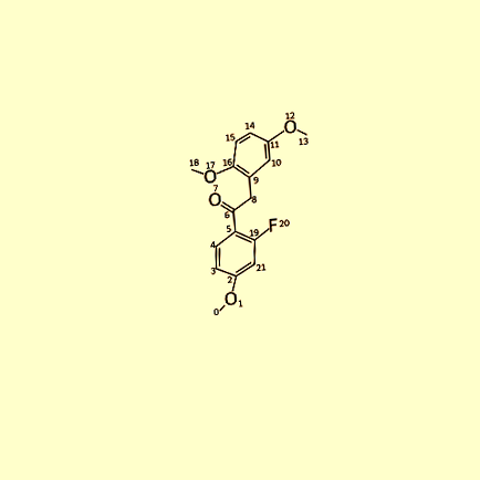 COc1ccc(C(=O)Cc2cc(OC)ccc2OC)c(F)c1